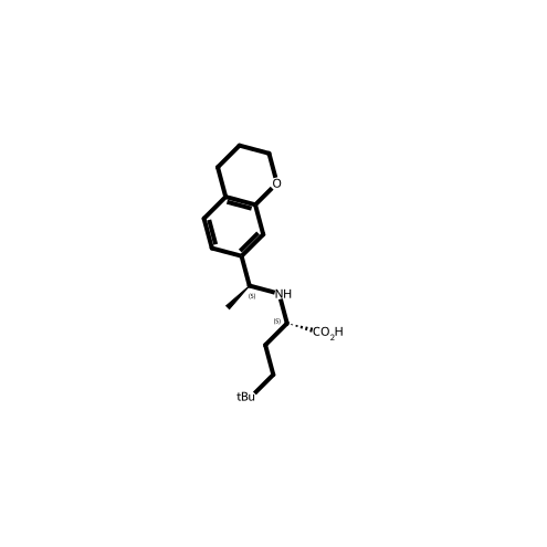 C[C@H](N[C@@H](CCC(C)(C)C)C(=O)O)c1ccc2c(c1)OCCC2